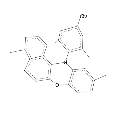 Cc1ccc2c(c1)N(c1c(C)cc(C(C)(C)C)cc1C)c1c(ccc3c(C)cccc13)O2